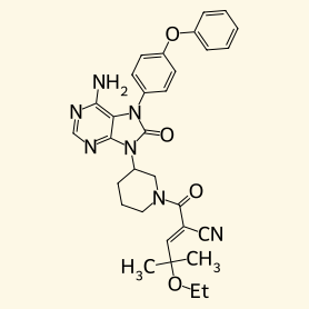 CCOC(C)(C)C=C(C#N)C(=O)N1CCCC(n2c(=O)n(-c3ccc(Oc4ccccc4)cc3)c3c(N)ncnc32)C1